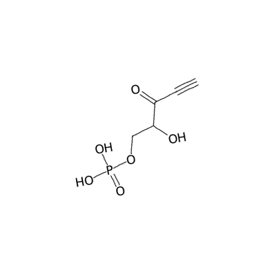 C#CC(=O)C(O)COP(=O)(O)O